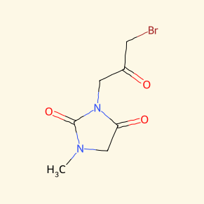 CN1CC(=O)N(CC(=O)CBr)C1=O